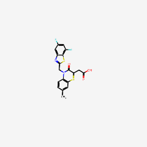 Cc1ccc2c(c1)SC(CC(=O)O)C(=O)N2Cc1nc2cc(F)cc(F)c2s1